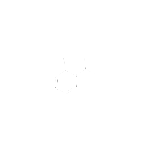 CC(C)N1C=CN=CC1Cl